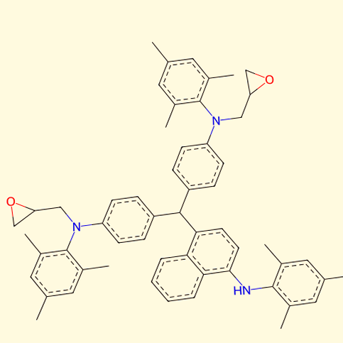 Cc1cc(C)c(Nc2ccc(C(c3ccc(N(CC4CO4)c4c(C)cc(C)cc4C)cc3)c3ccc(N(CC4CO4)c4c(C)cc(C)cc4C)cc3)c3ccccc23)c(C)c1